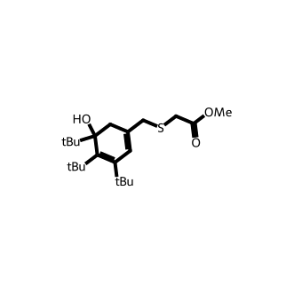 COC(=O)CSCC1=CC(C(C)(C)C)=C(C(C)(C)C)C(O)(C(C)(C)C)C1